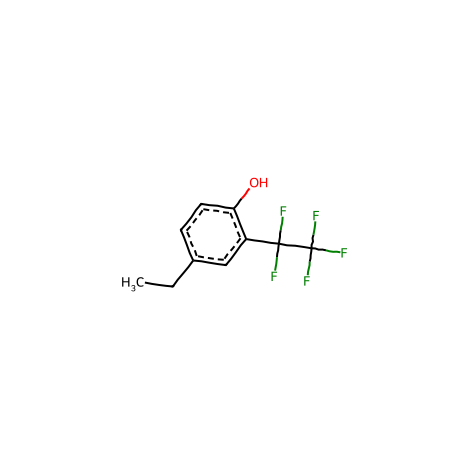 CCc1ccc(O)c(C(F)(F)C(F)(F)F)c1